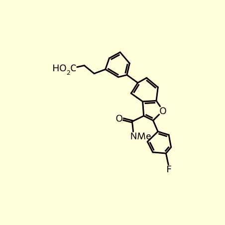 CNC(=O)c1c(-c2ccc(F)cc2)oc2ccc(-c3cccc(CCC(=O)O)c3)cc12